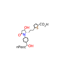 CCCCCC(O)c1ccc(N2C(=O)C[C@@H](O)[C@@H]2CCCc2ccc(C(=O)O)s2)cc1